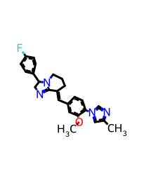 COc1cc(/C=C2\CCCN3C2=NCC3c2ccc(F)cc2)ccc1-n1cnc(C)c1